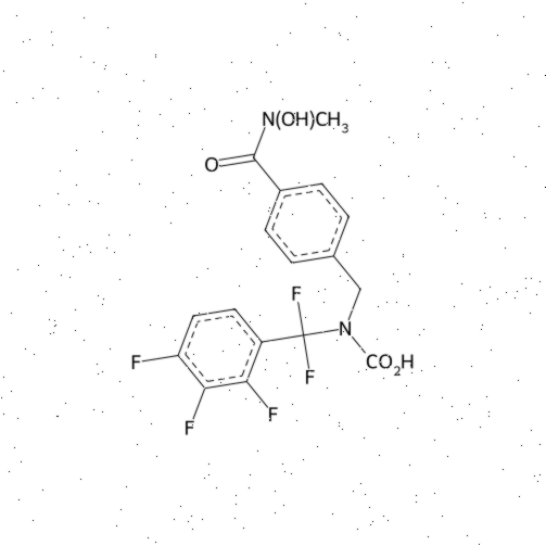 CN(O)C(=O)c1ccc(CN(C(=O)O)C(F)(F)c2ccc(F)c(F)c2F)cc1